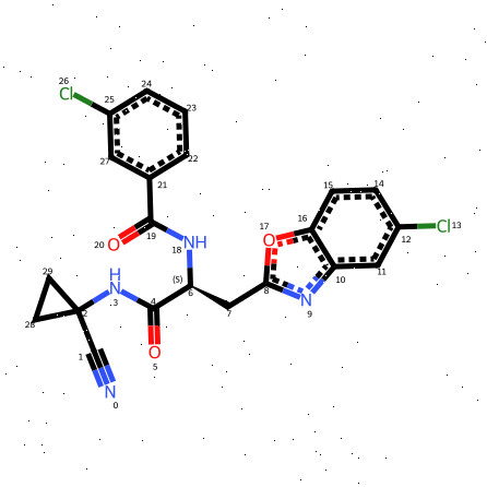 N#CC1(NC(=O)[C@H](Cc2nc3cc(Cl)ccc3o2)NC(=O)c2cccc(Cl)c2)CC1